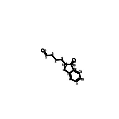 O=CCCCN1Cc2ccccc2C1=O